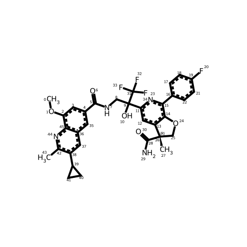 COc1cc(C(=O)NCC(O)(c2cc3c(c(-c4ccc(F)cc4)n2)OC[C@]3(C)C(N)=O)C(F)(F)F)cc2cc(C3CC3)c(C)nc12